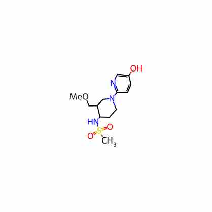 COCC1CN(c2ccc(O)cn2)CCC1NS(C)(=O)=O